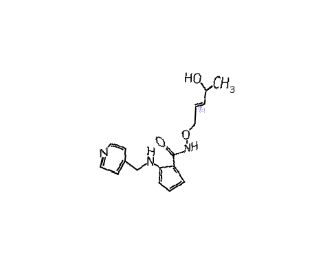 CC(O)/C=C/CONC(=O)c1ccccc1NCc1ccncc1